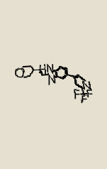 FC(F)(F)c1cc(-c2ccc3[nH]c(C=CC4CCOCC4)nc3c2)ccn1